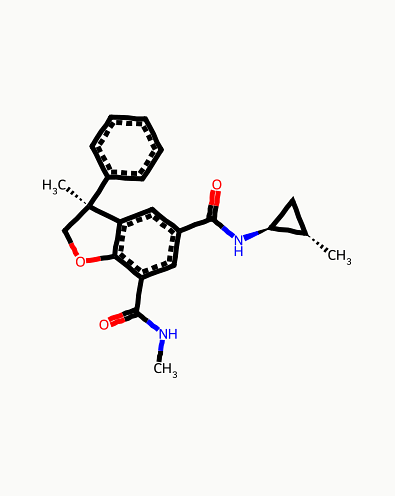 CNC(=O)c1cc(C(=O)N[C@H]2C[C@@H]2C)cc2c1OC[C@@]2(C)c1ccccc1